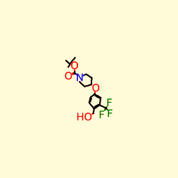 CC(C)(C)OC(=O)N1CCC(Oc2ccc(CO)c(C(F)(F)F)c2)CC1